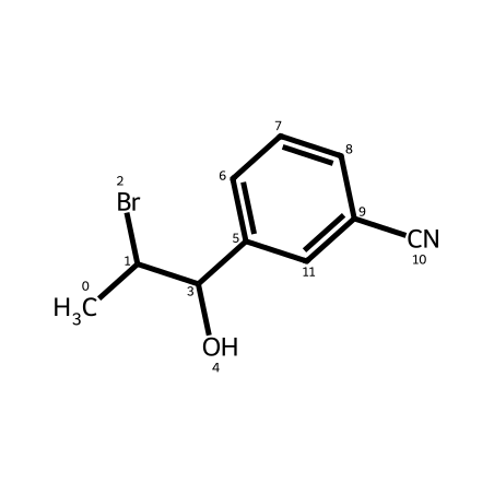 CC(Br)C(O)c1cccc(C#N)c1